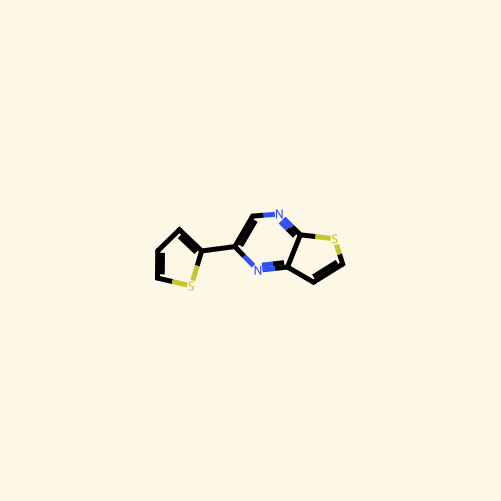 c1csc(-c2cnc3sccc3n2)c1